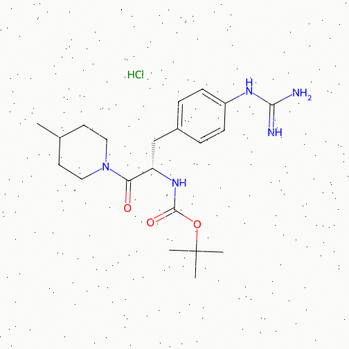 CC1CCN(C(=O)[C@H](Cc2ccc(NC(=N)N)cc2)NC(=O)OC(C)(C)C)CC1.Cl